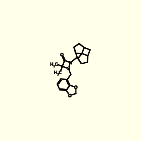 CC1(C)C(=O)N(C2C3CC4CC5CC2CC45C3)N1Cc1cccc2c1OCO2